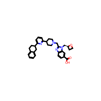 O=C(O)c1ccc2nc(CN3CCC(c4cccc(C5CCc6ccccc6C5)n4)CC3)n(C[C@@H]3CCO3)c2c1